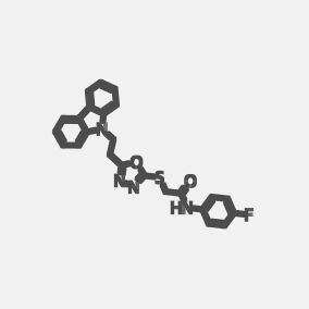 O=C(CSc1nnc(CCn2c3ccccc3c3ccccc32)o1)Nc1ccc(F)cc1